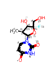 C[C@@H]1[C@H](n2ccc(=O)[nH]c2=O)O[C@](F)(CO)[C@H]1O